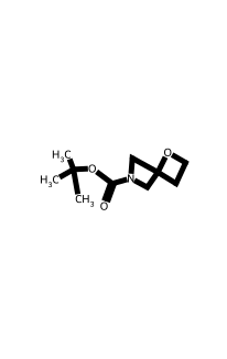 CC(C)(C)OC(=O)N1CC2(CCO2)C1